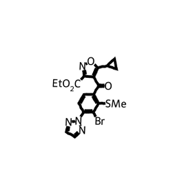 CCOC(=O)c1noc(C2CC2)c1C(=O)c1ccc(-n2nccn2)c(Br)c1SC